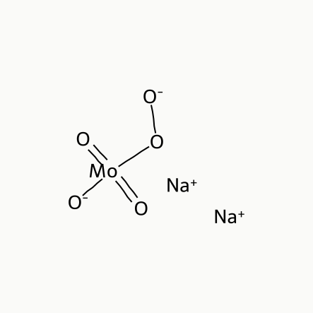 [Na+].[Na+].[O]=[Mo](=[O])([O-])[O][O-]